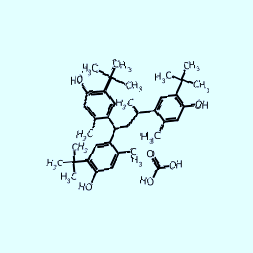 Cc1cc(O)c(C(C)(C)C)cc1C(C)CC(c1cc(C(C)(C)C)c(O)cc1C)c1cc(C(C)(C)C)c(O)cc1C.O=C(O)O